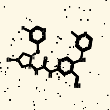 CCN1C[C@H](NC(=O)Nc2cc(C=N)c(Nc3ccnc(C)c3)cn2)[C@@H](Oc2cncc(F)c2)C1